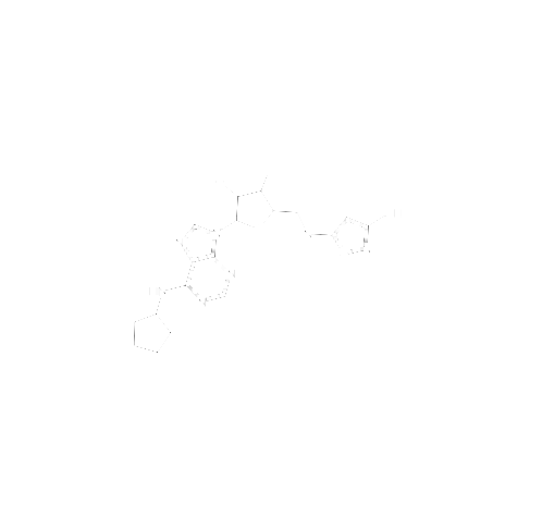 Cc1cc(NCC2OC(n3cnc4c(NC5CCCC5)ncnc43)C(O)C2O)on1